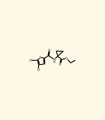 CCOC(=O)C1(NC(=O)c2cc(Cl)c(Cl)s2)CC1